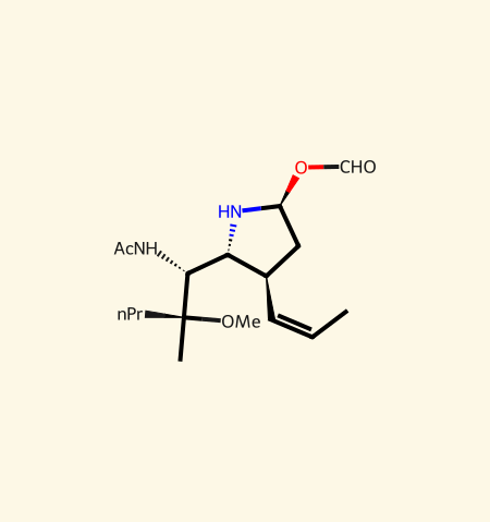 C/C=C\[C@@H]1C[C@H](OC=O)N[C@H]1[C@@H](NC(C)=O)[C@](C)(CCC)OC